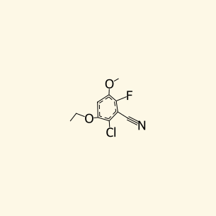 CCOc1cc(OC)c(F)c(C#N)c1Cl